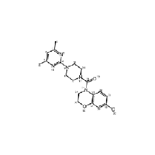 Cc1cc(C)nc(N2CCN(C(=O)N3CCOc4cc(Cl)ccc43)CC2)n1